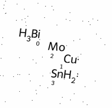 [BiH3].[Cu].[Mo].[SnH2]